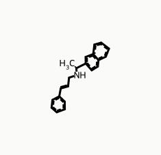 C[C@@H](NCC=Cc1ccccc1)c1ccc2ccccc2c1